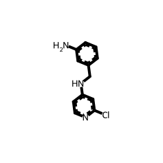 Nc1cccc(CNc2ccnc(Cl)c2)c1